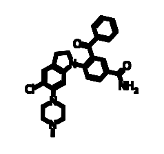 CN1CCN(c2cc3c(cc2Cl)CCN3c2ccc(C(N)=O)cc2C(=O)c2ccccc2)CC1